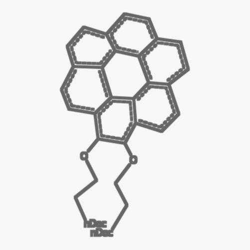 CCCCCCCCCCCCOc1c(OCCCCCCCCCCCC)c2ccc3ccc4ccc5ccc6ccc1c1c6c5c4c3c21